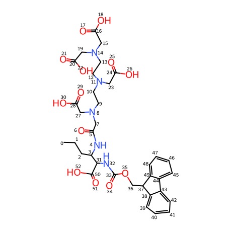 CCCC(NC(=O)CN(CCN(CCN(CC(=O)O)CC(=O)O)CC(=O)O)CC(=O)O)C(NC(=O)OCC1c2ccccc2-c2ccccc21)C(=O)O